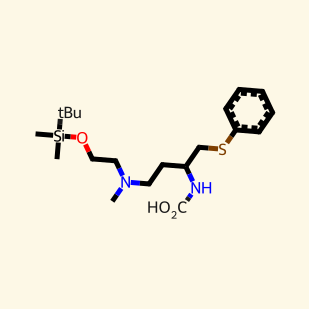 CN(CCO[Si](C)(C)C(C)(C)C)CCC(CSc1ccccc1)NC(=O)O